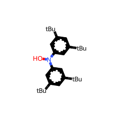 CC(C)(C)c1cc(N(O)c2cc(C(C)(C)C)cc(C(C)(C)C)c2)cc(C(C)(C)C)c1